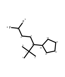 CC(C)(C)C(CCC(F)F)C1CCCC1